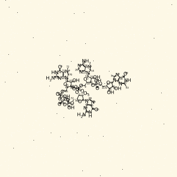 COC1[C@@H](OP(=O)(O)OC[C@H]2O[C@@H](n3cnc4c(N)ncnc43)C(O)[C@H]2OP(=O)(O)OC[C@H]2O[C@@H](n3cnc4c(=O)[nH]c(C)nc43)C(O)[C@H]2O)[C@@H](COP(=O)(O)OP(=O)([O-])OP(=O)(O)OC[C@H]2O[C@@H](n3c[n+](C)c4c(=O)[nH]c(N)nc43)C(O)C2O)O[C@H]1n1cnc2c(=O)[nH]c(N)nc21